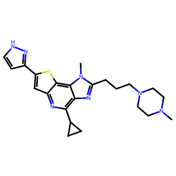 CN1CCN(CCCc2nc3c(C4CC4)nc4cc(-c5cc[nH]n5)sc4c3n2C)CC1